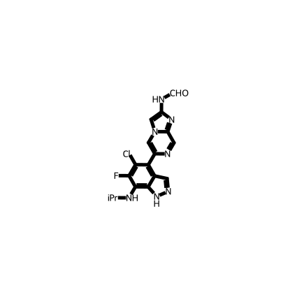 CC(C)Nc1c(F)c(Cl)c(-c2cn3cc(NC=O)nc3cn2)c2cn[nH]c12